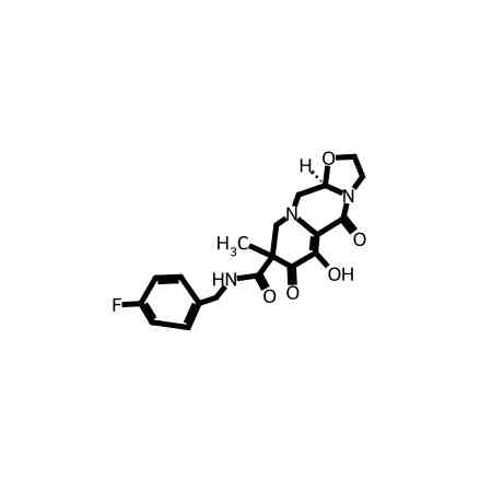 CC1(C(=O)NCc2ccc(F)cc2)CN2C[C@H]3OCCN3C(=O)C2=C(O)C1=O